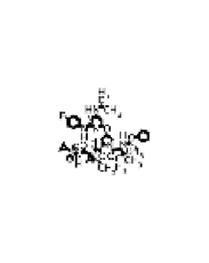 C=C[C@@H]1C[C@]1(NC(=O)[C@@H]1C[C@@H](Oc2cc(NC(C)C)nc(Nc3ccc(F)cc3)n2)CN1C(=O)[C@@H](NC(=O)OC1CCCC1)C(C)(C)C)C(=O)NS(=O)(=O)C1CC1